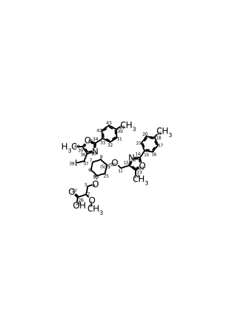 COC(CO[C@@H]1CCC[C@H](OCc2nc(-c3ccc(C)cc3)oc2C)C1)C(=O)O.Cc1ccc(-c2nc(CI)c(C)o2)cc1